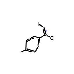 Cc1ccc(/C(Cl)=C\I)cc1